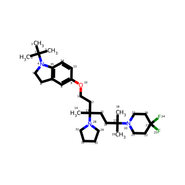 CC(C)(C)N1CCc2cc(OCCC(C)(CCC(C)(C)N3CCC(F)(F)CC3)N3CCCC3)ccc21